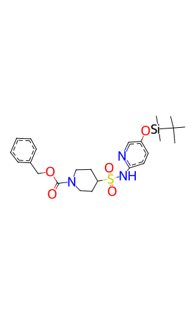 CC(C)(C)[Si](C)(C)Oc1ccc(NS(=O)(=O)C2CCN(C(=O)OCc3ccccc3)CC2)nc1